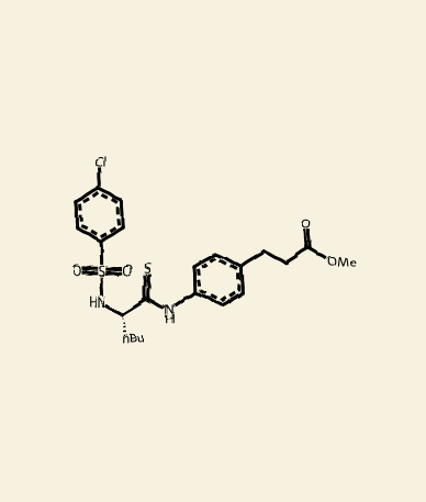 CCCC[C@H](NS(=O)(=O)c1ccc(Cl)cc1)C(=S)Nc1ccc(CCC(=O)OC)cc1